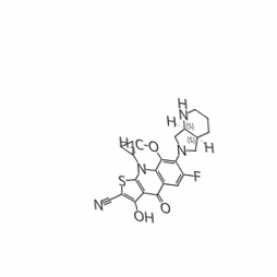 COc1c(N2C[C@@H]3CCCN[C@@H]3C2)c(F)cc2c(=O)c3c(O)c(C#N)sc3n(C3CC3)c12